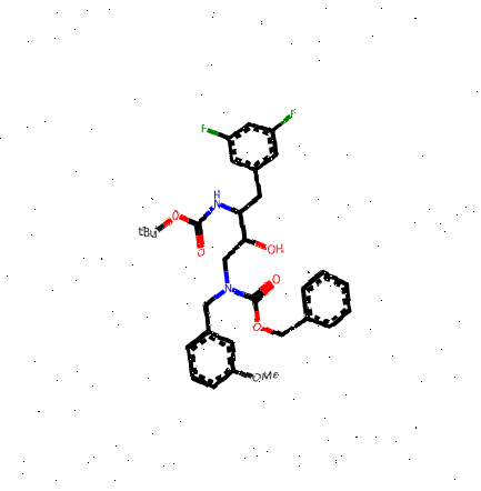 COc1cccc(CN(CC(O)C(Cc2cc(F)cc(F)c2)NC(=O)OC(C)(C)C)C(=O)OCc2ccccc2)c1